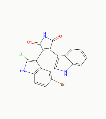 O=C1NC(=O)C(c2c(Cl)[nH]c3ccc(Br)cc23)=C1c1c[nH]c2ccccc12